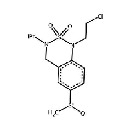 CC(C)N1Cc2cc([S+](C)[O-])ccc2N(CCCl)S1(=O)=O